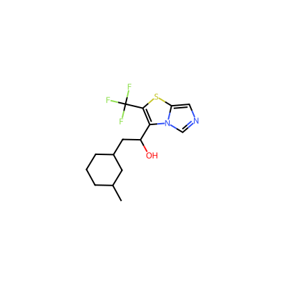 CC1CCCC(CC(O)c2c(C(F)(F)F)sc3cncn23)C1